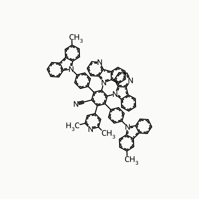 Cc1ccc2c(c1)c1ccccc1n2-c1ccc(-c2c(C#N)c(-c3cc(C)nc(C)c3)c(-c3ccc(-n4c5ccccc5c5cc(C)ccc54)cc3)c(-n3c4ccccc4c4ncccc43)c2-n2c3ccccc3c3ncccc32)cc1